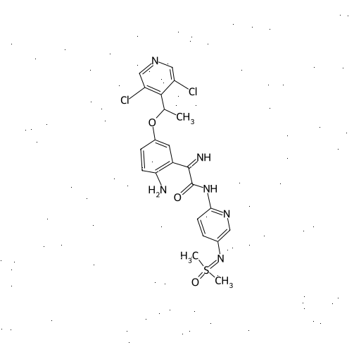 CC(Oc1ccc(N)c(C(=N)C(=O)Nc2ccc(N=S(C)(C)=O)cn2)c1)c1c(Cl)cncc1Cl